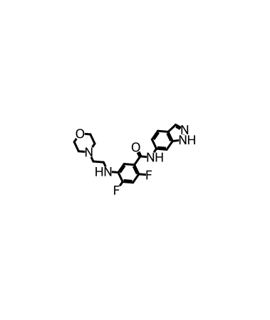 O=C(Nc1ccc2cn[nH]c2c1)c1cc(NCCN2CCOCC2)c(F)cc1F